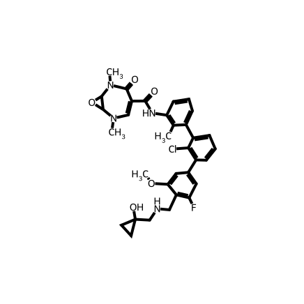 COc1cc(-c2cccc(-c3cccc(NC(=O)C4=CN(C)C5OC5N(C)C4=O)c3C)c2Cl)cc(F)c1CNCC1(O)CC1